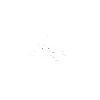 CCCn1nc(C)c(C(=O)O)c1-c1ccc(-c2ccccc2S(=O)(=O)NC(=O)c2ccccc2)cc1C1CC1